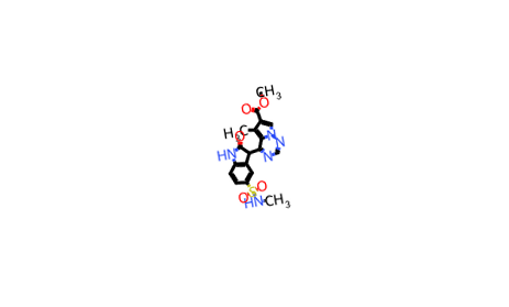 CNS(=O)(=O)c1ccc2c(c1)C(c1ncnn3cc(C(=O)OC)c(C)c13)C(=O)N2